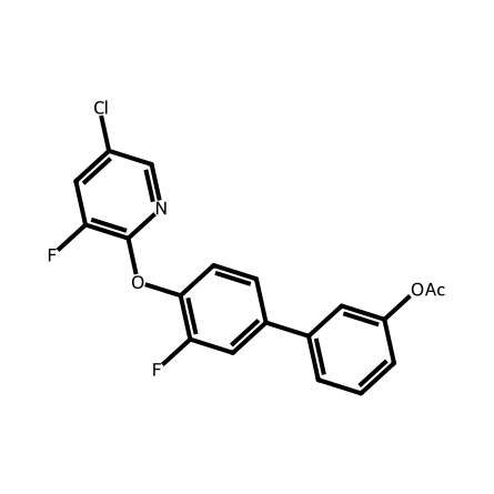 CC(=O)Oc1cccc(-c2ccc(Oc3ncc(Cl)cc3F)c(F)c2)c1